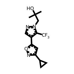 CC(C)(O)Cn1ncc(-c2cc(C3CC3)no2)c1C(F)(F)F